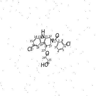 O=C(c1cccc(Cl)c1)N1Cc2[nH]c3ccc(Cl)cc3c2C(COCCO)C1